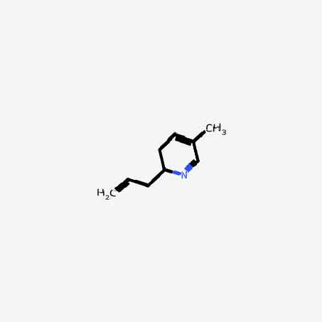 C=CCC1CC=C(C)C=N1